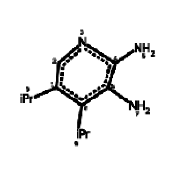 CC(C)c1cnc(N)c(N)c1C(C)C